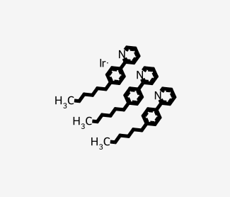 CCCCCCc1ccc(-c2ccccn2)cc1.CCCCCCc1ccc(-c2ccccn2)cc1.CCCCCCc1ccc(-c2ccccn2)cc1.[Ir]